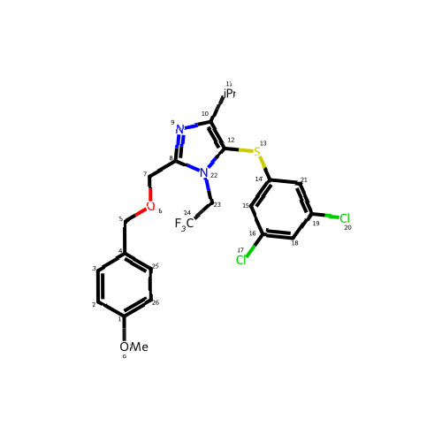 COc1ccc(COCc2nc(C(C)C)c(Sc3cc(Cl)cc(Cl)c3)n2CC(F)(F)F)cc1